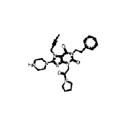 CC#CCn1c(N2CCNCC2)nc2c1c(=O)n(CCc1ccccc1)c(=O)n2CC(=O)N1CCCC1